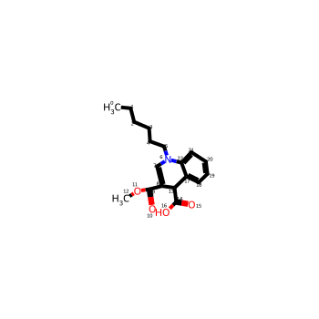 CCCCCCN1C=C(C(=O)OC)C(C(=O)O)c2ccccc21